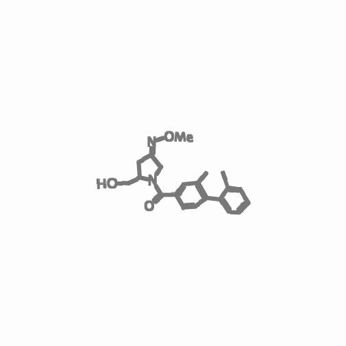 CO/N=C1/CC(CO)N(C(=O)c2ccc(-c3ccccc3C)c(C)c2)C1